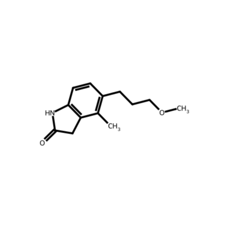 COCCCc1ccc2c(c1C)CC(=O)N2